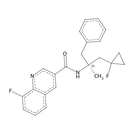 C[C@](Cc1ccccc1)(CC1(F)CC1)NC(=O)c1cnc2c(F)cccc2c1